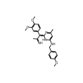 COc1ccc(CNC2=CC(C)=N/C(=C(/C(C)=N)c3ccc(OC)c(OC)c3)N2)cc1